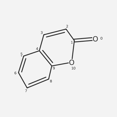 O=c1ccc2[c]cccc2o1